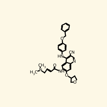 CN(C)CC=CC(=O)Nc1cc2c(Nc3ccc(OCc4ccccc4)cc3)c(C#N)cnc2cc1OC1CCOC1